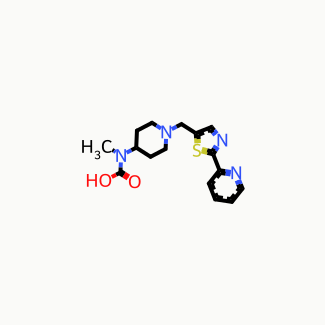 CN(C(=O)O)C1CCN(Cc2cnc(-c3ccccn3)s2)CC1